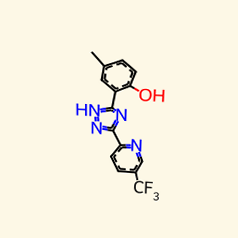 Cc1ccc(O)c(-c2nc(-c3ccc(C(F)(F)F)cn3)n[nH]2)c1